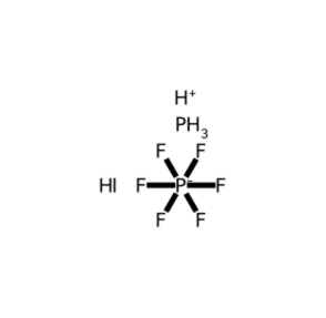 F[P-](F)(F)(F)(F)F.I.P.[H+]